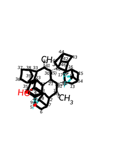 C[C@H](C1C2CCCC1C2(F)F)[C@@H](C1CC2CC(C1)C2(F)F)[C@@H](C1C2=CC=CC1=C2O)[C@H]([C@@H](C)C1CC2CCC1C2)C12CC3CC(C1)C32